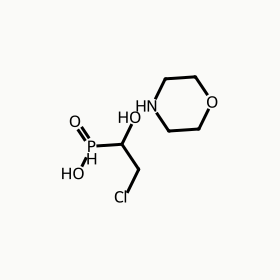 C1COCCN1.O=[PH](O)C(O)CCl